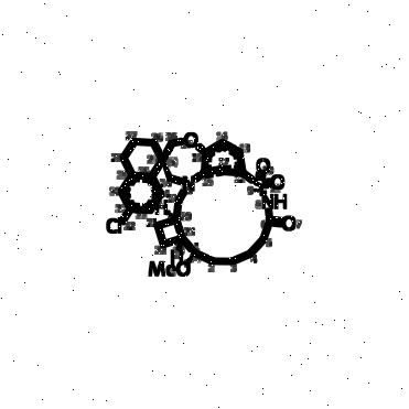 CO[C@H]1CCCCC(=O)NS(=O)(=O)c2ccc3c(c2)N(C[C@@H]2CC[C@H]21)C[C@@]1(CCCc2cc(Cl)ccc21)CO3